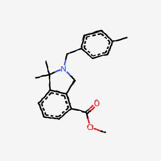 COC(=O)c1cccc2c1CN(Cc1ccc(C)cc1)C2(C)C